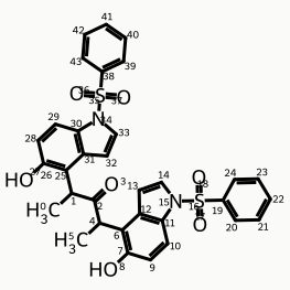 CC(C(=O)C(C)c1c(O)ccc2c1ccn2S(=O)(=O)c1ccccc1)c1c(O)ccc2c1ccn2S(=O)(=O)c1ccccc1